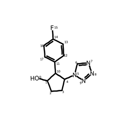 OC1CCC(n2cnnn2)C1c1ccc(F)cc1